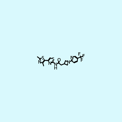 Cc1nc(C)c(-c2csc(NC(=O)CC3CN(c4ccc(C(F)(F)F)cn4)C3)n2)s1